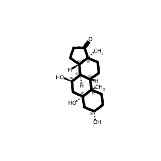 C[C@]12CC[C@H]3[C@@H]([C@H](O)C[C@]4(O)C[C@@H](O)CC[C@]34C)[C@@H]1CCC2=O